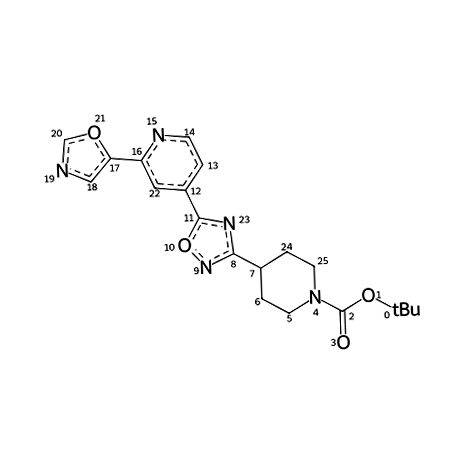 CC(C)(C)OC(=O)N1CCC(c2noc(-c3ccnc(-c4cnco4)c3)n2)CC1